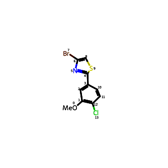 COc1cc(-c2nc(Br)cs2)ccc1Cl